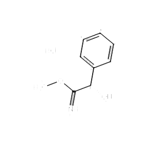 COC(=N)[C@@H](O)c1ccccc1.Cl